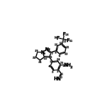 N=Cc1ccc(-c2c(-c3cccc(C(F)(F)F)c3)nn3c2CCC3)cc1N